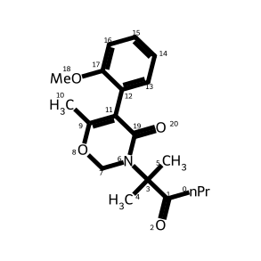 CCCC(=O)C(C)(C)N1COC(C)=C(c2ccccc2OC)C1=O